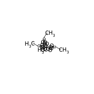 CCCCCc1ccc(C(=O)OOC(=O)OCC(CC)(COC(=O)OOC(=O)c2ccc(CCCCC)cc2)COC(=O)OOC(=O)c2ccc(CCCCC)cc2)cc1